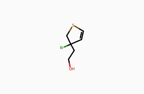 OCCC1(Br)C=CSC1